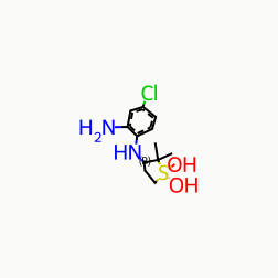 CC1(C)[C@H](Nc2ccc(Cl)cc2N)CCS1(O)O